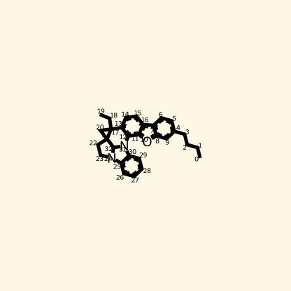 CCCCc1ccc2c(c1)oc1c3c(ccc12)C1(CC)CC12CCN1c4ccccc4N3C12